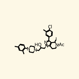 CC(=O)N1CCc2c(c(-c3ccc(Cl)c(C)c3)nn2CC(O)CN2CCN(c3ccc(C)cc3C)CC2)C1I